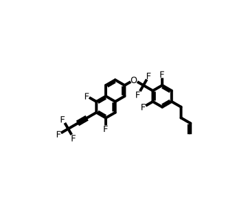 C=CCCc1cc(F)c(C(F)(F)Oc2ccc3c(F)c(C#CC(F)(F)F)c(F)cc3c2)c(F)c1